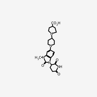 Cn1c(=O)n(C2CCC(=O)NC2=O)c2ccc(N3CCC(N4CCC(C(=O)O)CC4)CC3)cc21